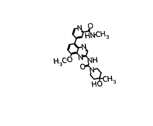 CNC(=O)c1cc(-c2ccc(OC)c3nc(NC(=O)N4CCC(C)(O)CC4)cnc23)ccn1